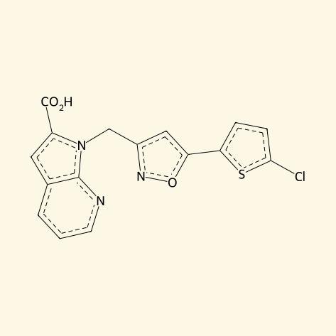 O=C(O)c1cc2cccnc2n1Cc1cc(-c2ccc(Cl)s2)on1